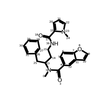 CN(C(=O)c1ccc2occc2c1)C(CCNC(=O)c1cccn1C)Cc1ccccc1